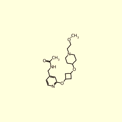 COCCN1CCC(OC2CC(Oc3cc(CNC(C)=O)ccn3)C2)CC1